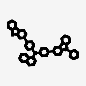 c1ccc(-n2c3ccccc3c3cc(-c4ccc(N(c5ccc(-c6ccc7c(c6)sc6ccccc67)cc5)c5cccc6ccccc56)cc4)ccc32)cc1